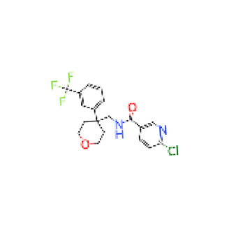 O=C(NCC1(c2cccc(C(F)(F)F)c2)CCOCC1)c1ccc(Cl)nc1